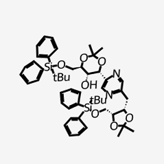 CC1(C)O[C@H](c2cnc(C[C@@H]3OC(C)(C)O[C@@H]3CO[Si](c3ccccc3)(c3ccccc3)C(C)(C)C)cn2)[C@H](O)[C@@H](CO[Si](c2ccccc2)(c2ccccc2)C(C)(C)C)O1